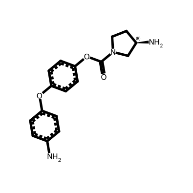 Nc1ccc(Oc2ccc(OC(=O)N3CC[C@@H](N)C3)cc2)cc1